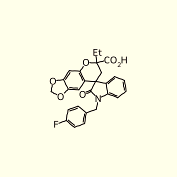 CCC1(C(=O)O)CC2(C(=O)N(Cc3ccc(F)cc3)c3ccccc32)c2cc3c(cc2O1)OCO3